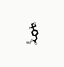 CC(C)(C)OC(=O)Cc1ccc(C2(F)COC2)cc1